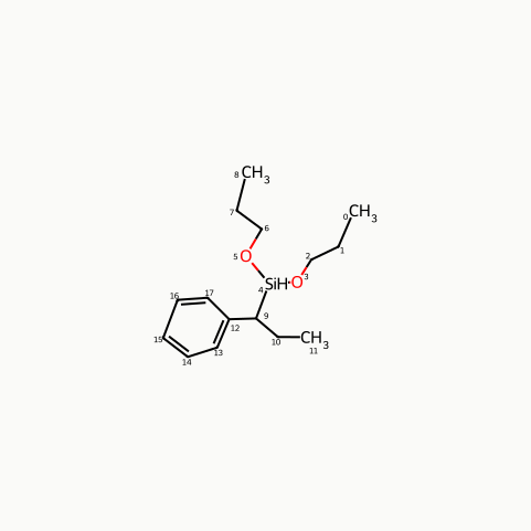 CCCO[SiH](OCCC)C(CC)c1ccccc1